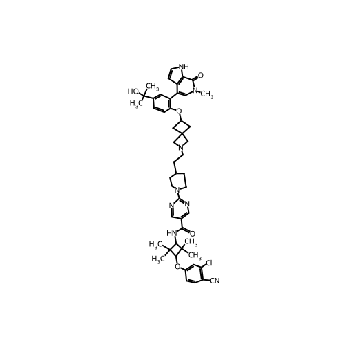 Cn1cc(-c2cc(C(C)(C)O)ccc2OC2CC3(C2)CN(CCC2CCN(c4ncc(C(=O)NC5C(C)(C)C(Oc6ccc(C#N)c(Cl)c6)C5(C)C)cn4)CC2)C3)c2cc[nH]c2c1=O